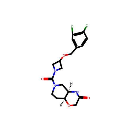 O=C1CO[C@H]2CCN(C(=O)N3CC(OCc4ccc(Cl)c(Cl)c4)C3)C[C@H]2N1